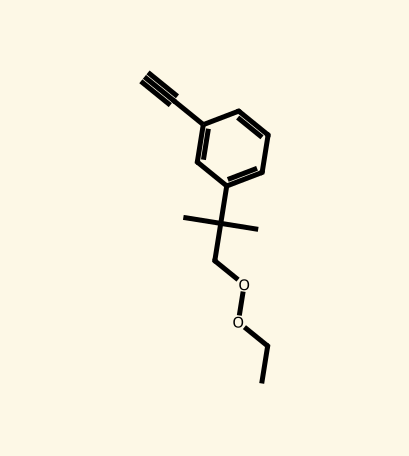 C#Cc1cccc(C(C)(C)COOCC)c1